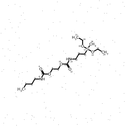 CCCCNC(=O)OCCOC(=O)NCCC[Si](C)(OCC)OCC